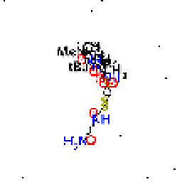 CN[C@H](C(=O)NC(C(=O)N(C)[C@H](/C=C(\C)C(=O)NS(=O)(=O)c1ccc(CSSCCC(=O)NCCCCCC(N)=O)cc1)C(C)C)C(C)(C)C)C(C)(C)c1ccccc1